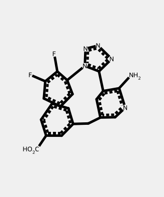 Nc1ncc(Cc2cccc(C(=O)O)c2)cc1-c1nnnn1-c1cccc(F)c1F